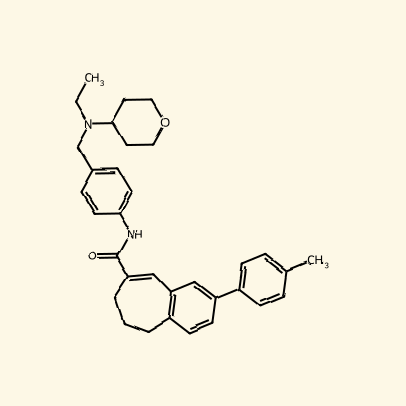 CCN(Cc1ccc(NC(=O)C2=Cc3cc(-c4ccc(C)cc4)ccc3CCC2)cc1)C1CCOCC1